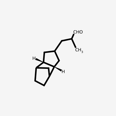 CC(C=O)CC1C[C@@H]2C3CCC(C3)[C@@H]2C1